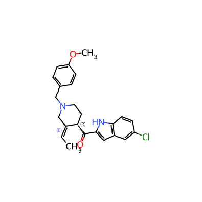 C/C=C1/CN(Cc2ccc(OC)cc2)CC[C@H]1C(=O)c1cc2cc(Cl)ccc2[nH]1